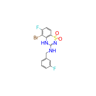 O=S1(=O)N=C(NCc2cccc(F)c2)Nc2c1ccc(F)c2Br